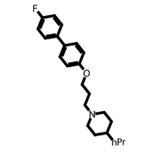 CCCC1CCN(CCCOc2ccc(-c3ccc(F)cc3)cc2)CC1